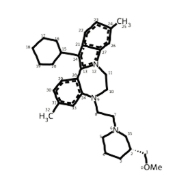 COC[C@@H]1CCCN(CCN2CCn3c(c(C4CCCCC4)c4ccc(C)cc43)-c3ccc(C)cc32)C1